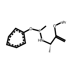 C=C(OCCC)[C@H](C)NP(C)Oc1ccccc1